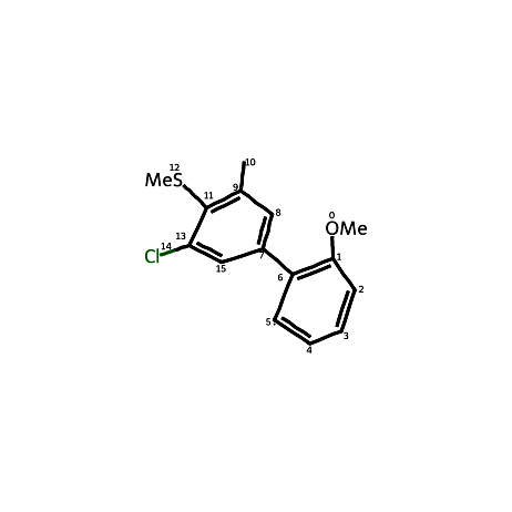 COc1ccc[c]c1-c1cc(C)c(SC)c(Cl)c1